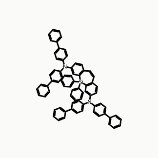 C1=Cc2ccc(N(c3ccc(-c4ccccc4)cc3)c3ccc(-c4ccccc4)cc3)cc2[Si](c2ccccc2)(c2ccccc2)c2cc(N(c3ccc(-c4ccccc4)cc3)c3ccc(-c4ccccc4)cc3)ccc21